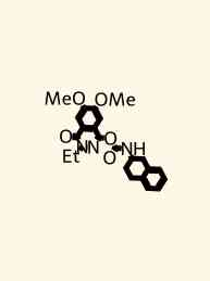 CCn1nc(OC(=O)NC2CCc3ccccc3C2)c2cc(OC)c(OC)cc2c1=O